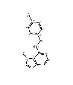 Cn1cnc2ccnc(NCc3ccc(Cl)cc3)c21